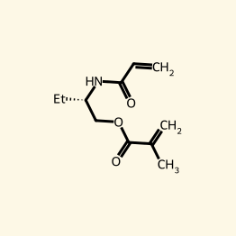 C=CC(=O)N[C@@H](CC)COC(=O)C(=C)C